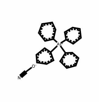 N#C[O-].c1ccc([As+](c2ccccc2)(c2ccccc2)c2ccccc2)cc1